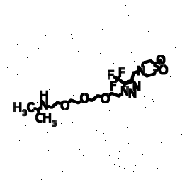 CC(C)NCCOCCOCCOCCn1nnc(CN2CCS(=O)(=O)CC2)c1C(F)(F)F